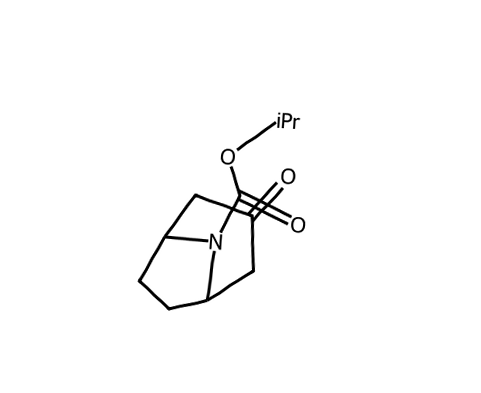 CC(C)OC(=O)N1C2CCC1CC(=O)C2